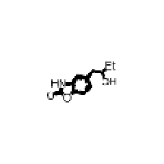 CCC(O)Cc1ccc2oc(=O)[nH]c2c1